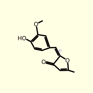 COc1cc(/C=C2/OC(C)=CC2=O)ccc1O